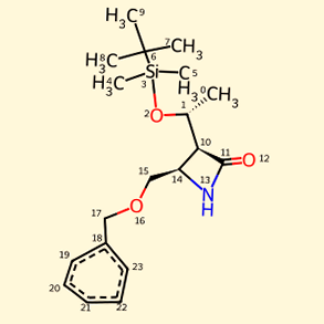 C[C@@H](O[Si](C)(C)C(C)(C)C)[C@H]1C(=O)N[C@H]1COCc1ccccc1